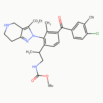 CCOC(=O)c1c2c(nn1-c1c(C(C)CNC(=O)OC(C)(C)C)ccc(C(=O)c3ccc(Cl)c(C#N)c3)c1C)CCNC2